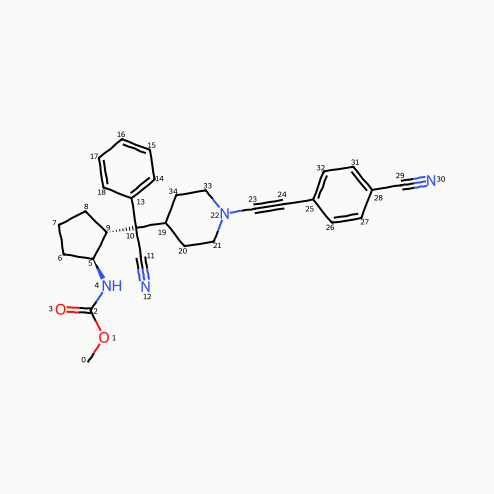 COC(=O)N[C@H]1CCC[C@@H]1C(C#N)(c1ccccc1)C1CCN(C#Cc2ccc(C#N)cc2)CC1